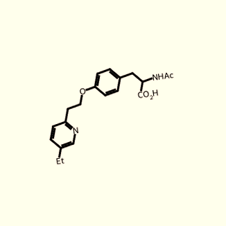 CCc1ccc(CCOc2ccc(CC(NC(C)=O)C(=O)O)cc2)nc1